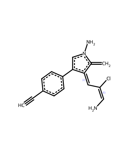 C#Cc1ccc(-c2cn(N)c(=C)/c2=C\C(Cl)=C/N)cc1